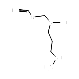 C=CNCN(C)CCCNN